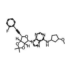 COC1CCC(Nc2ncnc3c2ncn3[C@@H]2O[C@H](C#Cc3ccccc3F)[C@H]3OC(C)(C)O[C@H]32)C1